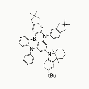 CC1(C)Cc2ccc(N3c4cc5c(cc4B4c6ccccc6N(c6ccccc6)c6cc(N7c8ccc(C(C)(C)C)cc8C8(C)CCCCC78C)cc3c64)CC(C)(C)C5)cc2C1